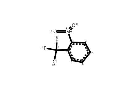 O=[SH](=O)c1ccccc1C(F)(F)Cl